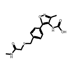 CNC(=O)CSCc1ccc(-c2onc(C)c2NC(=O)O)cc1